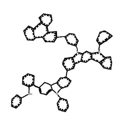 C1=C(c2ccccc2Nc2ccccc2)CC2C(=C1)N(c1ccccc1)c1ccc(-c3ccc4c(c3)c3cc5c6ccccc6n(-c6ccccc6)c5cc3n4-c3cccc(-c4ccc5c6ccccc6c6ccccc6c5c4)c3)cc12